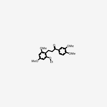 CCOc1cc(OC)cc(OC)c1CCC(=O)c1ccc(OC)c(OC)c1